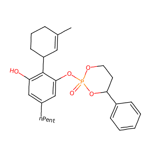 CCCCCc1cc(O)c(C2C=C(C)CCC2)c(OP2(=O)OCCC(c3ccccc3)O2)c1